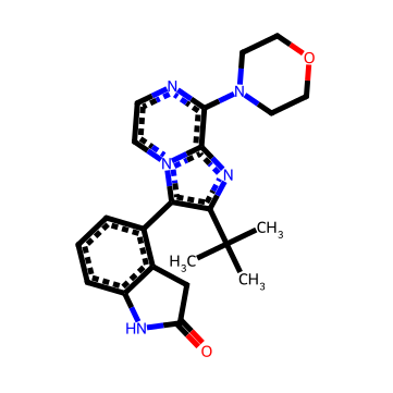 CC(C)(C)c1nc2c(N3CCOCC3)nccn2c1-c1cccc2c1CC(=O)N2